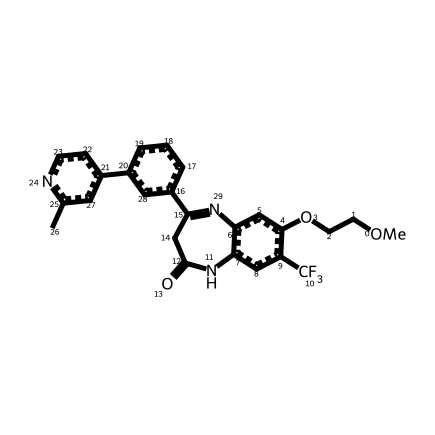 COCCOc1cc2c(cc1C(F)(F)F)NC(=O)CC(c1cccc(-c3ccnc(C)c3)c1)=N2